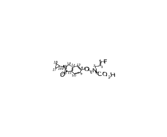 O=C(O)N(CC=CF)COc1ccc2c(c1)CN(C1CC1)C2=O